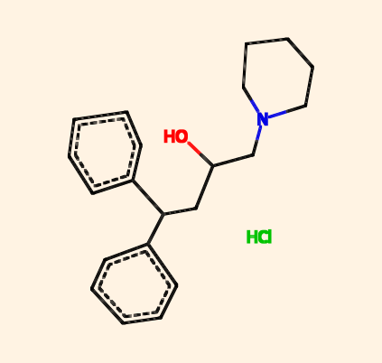 Cl.OC(CC(c1ccccc1)c1ccccc1)CN1CCCCC1